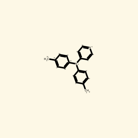 Cc1ccc(N(c2ccncc2)c2ccc(C)cc2)cc1